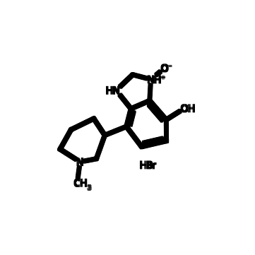 Br.CN1CCCC(c2ccc(O)c3c2NC[NH+]3[O-])C1